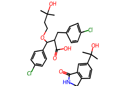 CC(C)(O)CCOC(c1ccc(Cl)cc1)C(Cc1ccc(Cl)cc1)C(=O)O.CC(C)(O)c1ccc2c(c1)C(=O)NC2